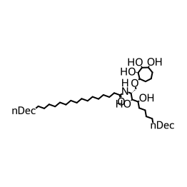 CCCCCCCCCCCCCCCCCCCCCCCCCC(=O)N[C@H](COC1CCC[C@H](O)[C@H](O)[C@H]1O)[C@@H](O)[C@@H](O)CCCCCCCCCCCCCC